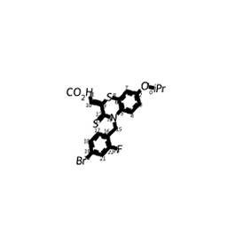 CC(C)Oc1ccc2c(c1)S/C(=C\C(=O)O)C(=S)N2Cc1ccc(Br)cc1F